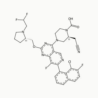 N#CC[C@H]1CN(c2nc(OC[C@@H]3CCCN3CC(F)F)nc3c(F)c(-c4cccc5ccc(F)c(Cl)c45)ncc23)CCN1C(=O)O